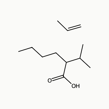 C=CC.CCCCC(C(=O)O)C(C)C